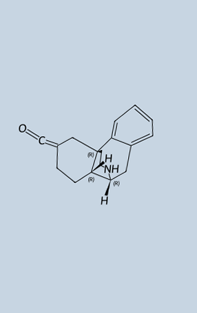 O=C=C1CC[C@H]2[C@H]3Cc4ccccc4[C@@]2(CCN3)C1